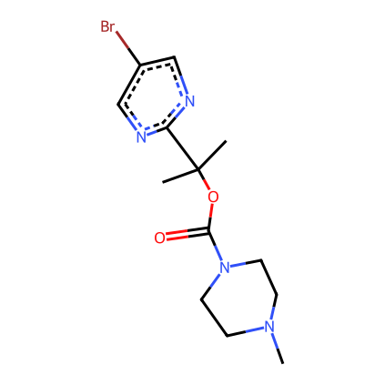 CN1CCN(C(=O)OC(C)(C)c2ncc(Br)cn2)CC1